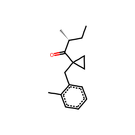 CC[C@@H](C)C(=O)C1(Cc2ccccc2C)CC1